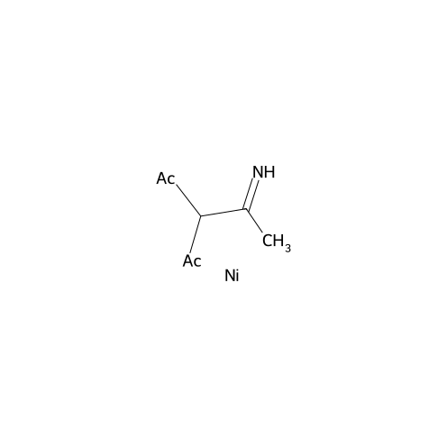 CC(=N)C(C(C)=O)C(C)=O.[Ni]